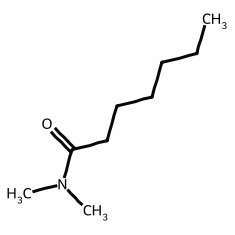 CCCCCCC(=O)N(C)C